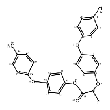 CC(Oc1ccc(Oc2ccc(Cl)cc2)cc1)C(=O)Oc1ccc(Oc2ccc(C#N)cc2)cc1